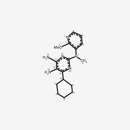 COc1ncccc1N(C)c1nc(N)c(N)c(C2CCCCC2)n1